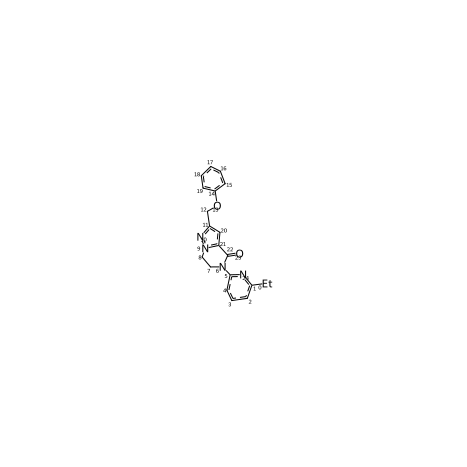 CCc1cccc(N2CCn3nc(COc4ccccc4)cc3C2=O)n1